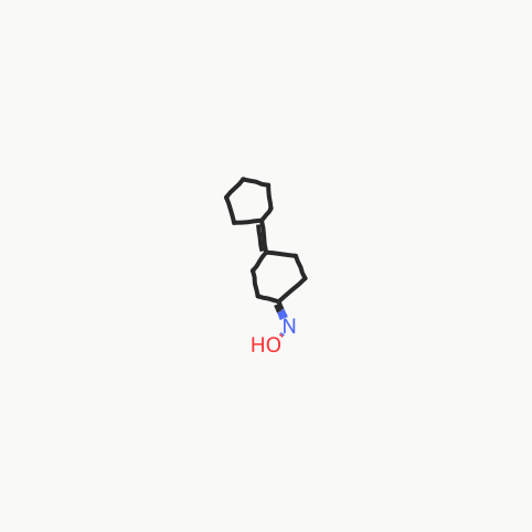 ON=C1CCC(=C2CCCCC2)CC1